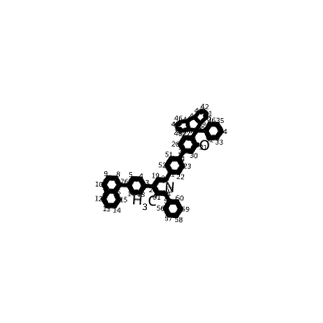 Cc1c(-c2ccc(-c3cccc4ccccc34)cc2)cc(-c2ccc(-c3ccc4c(c3)Oc3ccccc3C43C4C=CC=CC4C4C=CC=CC43)cc2)nc1-c1ccccc1